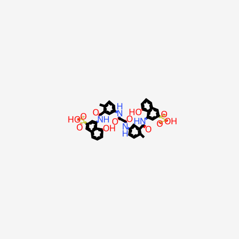 Cc1ccc(NC(=O)C(=O)Nc2ccc(C)c(C(=O)Nc3cc(S(=O)(=O)O)cc4cccc(O)c34)c2)cc1C(=O)Nc1cc(S(=O)(=O)O)cc2cccc(O)c12